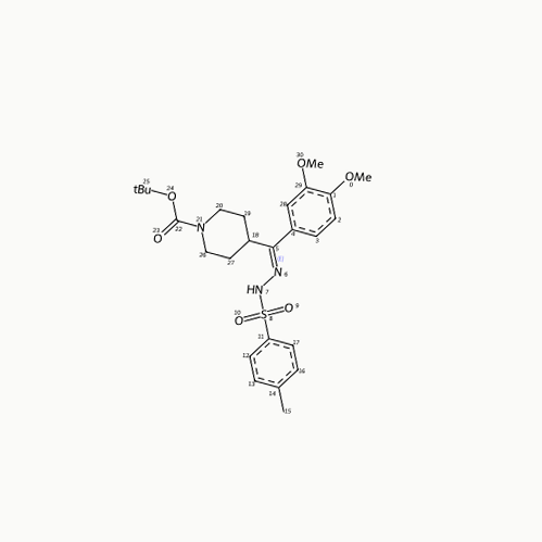 COc1ccc(/C(=N/NS(=O)(=O)c2ccc(C)cc2)C2CCN(C(=O)OC(C)(C)C)CC2)cc1OC